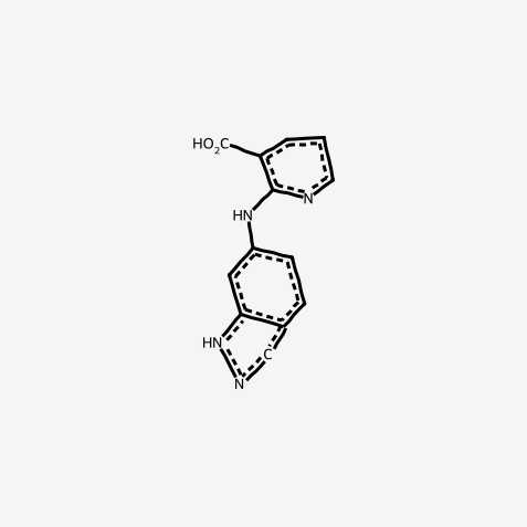 O=C(O)c1cccnc1Nc1ccc2cn[nH]c2c1